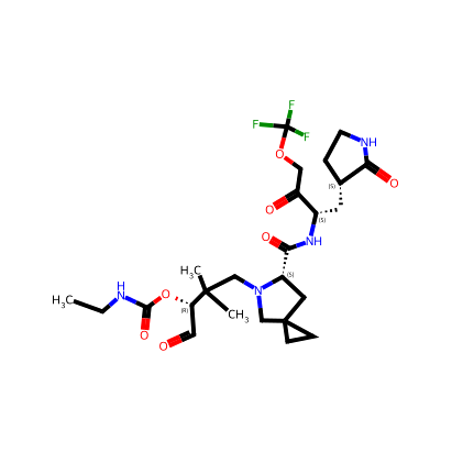 CCNC(=O)O[C@@H](C=O)C(C)(C)CN1CC2(CC2)C[C@H]1C(=O)N[C@@H](C[C@@H]1CCNC1=O)C(=O)COC(F)(F)F